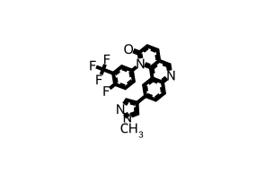 Cn1cc(-c2ccc3ncc4ccc(=O)n(-c5ccc(F)c(C(F)(F)F)c5)c4c3c2)cn1